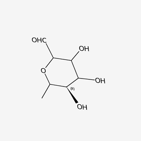 CC1OC(C=O)C(O)C(O)[C@H]1O